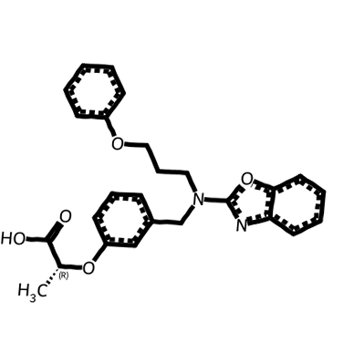 C[C@@H](Oc1cccc(CN(CCCOc2ccccc2)c2nc3ccccc3o2)c1)C(=O)O